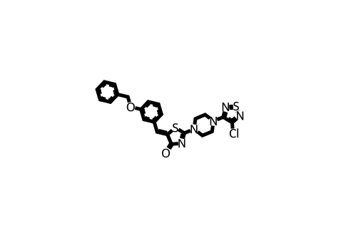 O=C1N=C(N2CCN(c3nsnc3Cl)CC2)SC1=Cc1cccc(OCc2ccccc2)c1